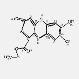 CCOC(=O)c1cc(=O)cc2oc3cc(O)c(Cl)cc3nc1-2